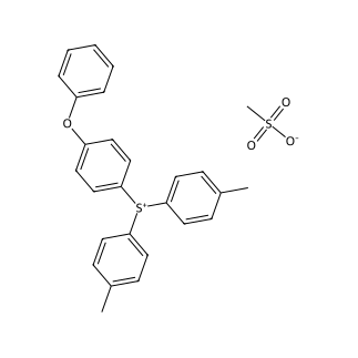 CS(=O)(=O)[O-].Cc1ccc([S+](c2ccc(C)cc2)c2ccc(Oc3ccccc3)cc2)cc1